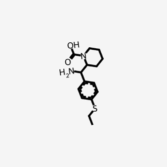 CCSc1ccc(C(N)C2CCCCN2C(=O)O)cc1